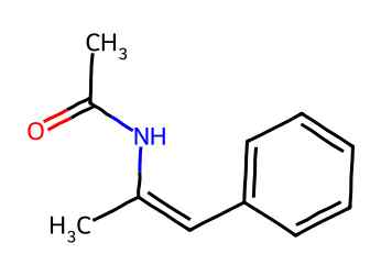 CC(=O)NC(C)=Cc1ccccc1